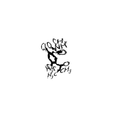 CNS(=O)(=O)c1cc(C(=O)C(C)(C)C)c(Cl)cc1Cl